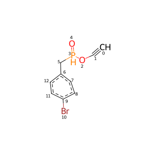 C#CO[PH](=O)Cc1ccc(Br)cc1